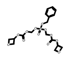 O=C(OCOP(=O)(OCOC(=O)OC1COC1)OCc1ccccc1)OC1COC1